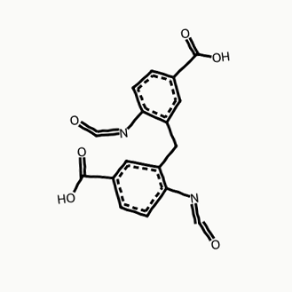 O=C=Nc1ccc(C(=O)O)cc1Cc1cc(C(=O)O)ccc1N=C=O